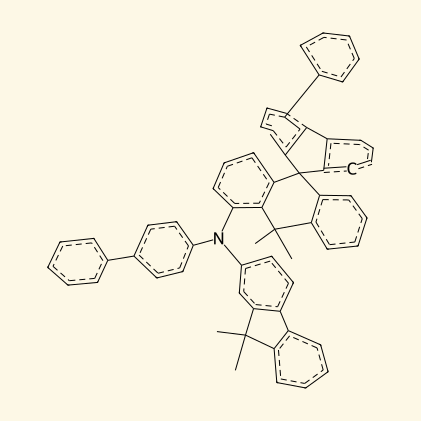 CC1(C)c2ccccc2-c2ccc(N(c3ccc(-c4ccccc4)cc3)c3cccc4c3C(C)(C)c3ccccc3C43c4ccccc4-c4c(-c5ccccc5)cccc43)cc21